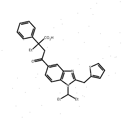 CCC(CC)n1c(Cc2cccs2)nc2cc(C(=O)CC(CC)(C(=O)O)c3ccccc3)ccc21